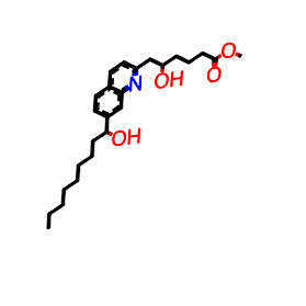 CCCCCCCCC(O)c1ccc2ccc(CC(O)CCCC(=O)OC)nc2c1